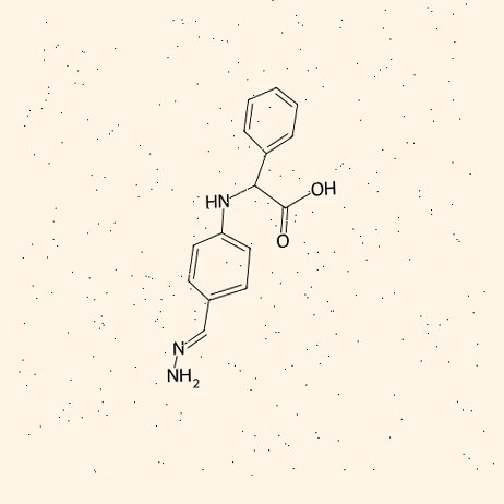 NN=Cc1ccc(NC(C(=O)O)c2ccccc2)cc1